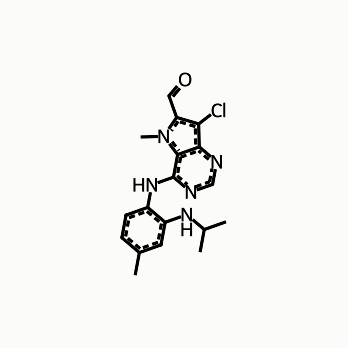 Cc1ccc(Nc2ncnc3c(Cl)c(C=O)n(C)c23)c(NC(C)C)c1